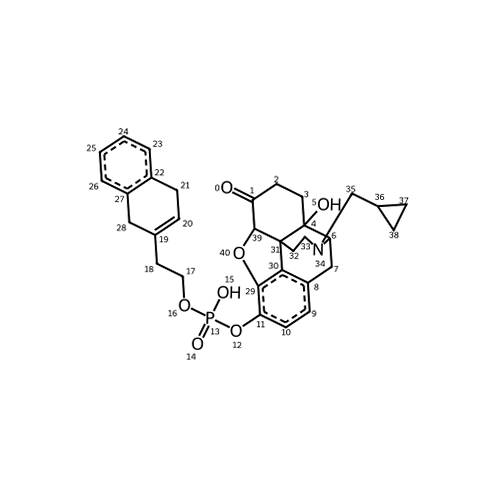 O=C1CCC2(O)C3Cc4ccc(OP(=O)(O)OCCC5=CCc6ccccc6C5)c5c4C2(CCN3CC2CC2)C1O5